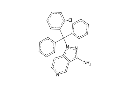 Nc1nn(C(c2ccccc2)(c2ccccc2)c2ccccc2Cl)c2ccncc12